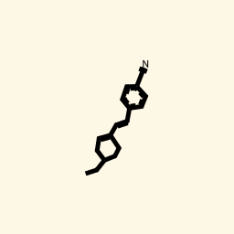 CCC1CC=C(C=Cc2ccc(C#N)cc2)CC1